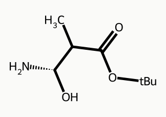 CC(C(=O)OC(C)(C)C)[C@@H](N)O